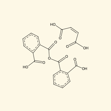 O=C(O)/C=C\C(=O)O.O=C(O)c1ccccc1C(=O)OC(=O)c1ccccc1C(=O)O